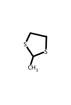 C[C]1SCCS1